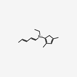 CC=CC=[CH][Ru]([CH2]C)[C]1=C(C)C=C(C)C1